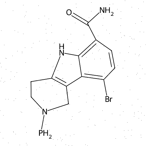 NC(=O)c1ccc(Br)c2c3c([nH]c12)CCN(P)C3